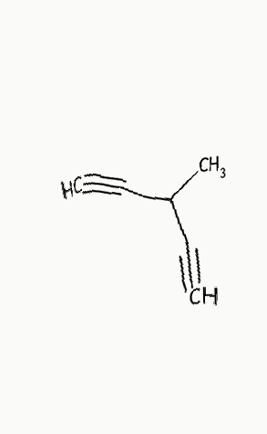 C#CC(C)C#C